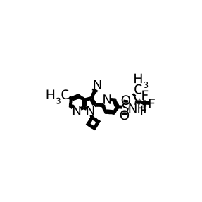 CC[C@H](NS(=O)(=O)c1ccc(-c2c(C#N)c3cc(C)cnc3n2C2CCC2)nc1)C(F)(F)F